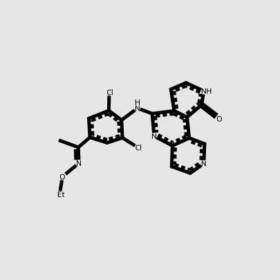 CCON=C(C)c1cc(Cl)c(Nc2nc3ccncc3c3c(=O)[nH]ccc23)c(Cl)c1